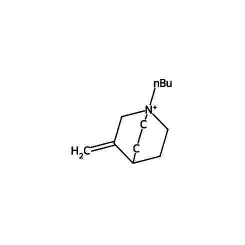 C=C1C[N+]2(CCCC)CCC1CC2